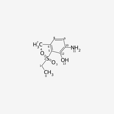 CCS(=O)(=O)c1c(C)ccc(N)c1O